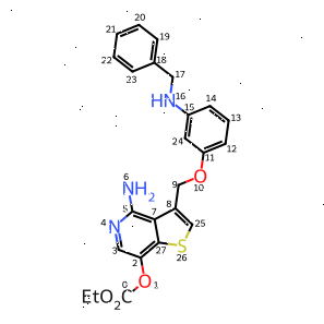 CCOC(=O)Oc1cnc(N)c2c(COc3cccc(NCc4ccccc4)c3)csc12